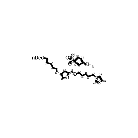 CCCCCCCCCCCCCCCC[C@H]1CO[C@H](COCCCCC[n+]2ccsc2)C1.Cc1ccc(S(=O)(=O)[O-])cc1